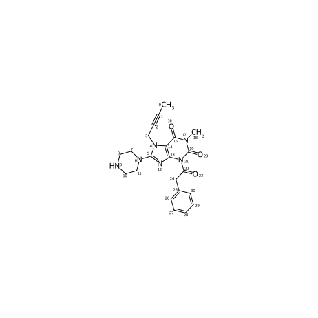 CC#CCn1c(N2CCNCC2)nc2c1c(=O)n(C)c(=O)n2C(=O)Cc1ccccc1